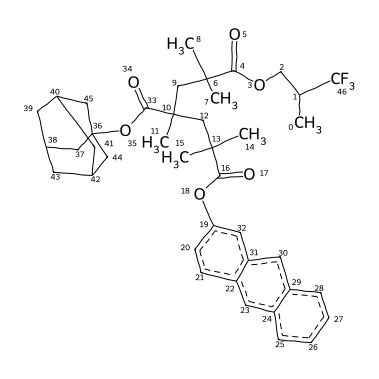 CC(COC(=O)C(C)(C)CC(C)(CC(C)(C)C(=O)Oc1ccc2cc3ccccc3cc2c1)C(=O)OC12CC3CC(CC(C3)C1)C2)C(F)(F)F